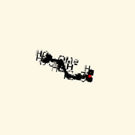 COc1cc(NC(=O)CCCCN(C)C(=O)OCCN2CCC(OC(=O)Nc3ccccc3-c3ccccc3)CC2)c(Cl)cc1CNC[C@H](O)c1ccc(O)c2[nH]c(=O)ccc12